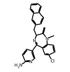 C=C1C(Cc2ccc3ccccc3c2)N=C(c2ccc(N)nc2)c2cc(Cl)ccc2N1C